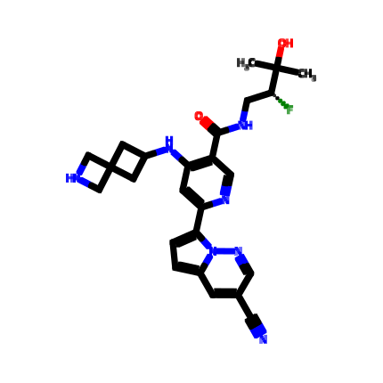 CC(C)(O)[C@H](F)CNC(=O)c1cnc(-c2ccc3cc(C#N)cnn23)cc1NC1CC2(CNC2)C1